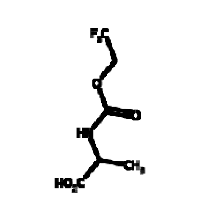 CC(NC(=O)OCC(F)(F)F)C(=O)O